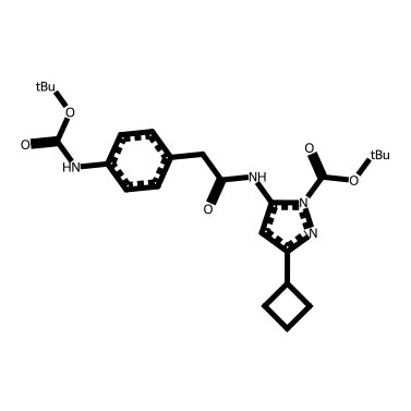 CC(C)(C)OC(=O)Nc1ccc(CC(=O)Nc2cc(C3CCC3)nn2C(=O)OC(C)(C)C)cc1